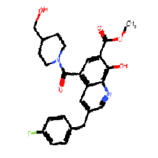 COC(=O)c1cc(C(=O)N2CCC(CO)CC2)c2cc(Cc3ccc(F)cc3)cnc2c1O